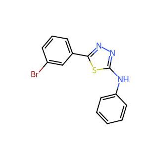 Brc1cccc(-c2nnc(Nc3ccccc3)s2)c1